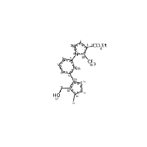 CCOC(=O)c1cnn(-c2cccc(-c3scc(C)c3CO)n2)c1C(F)(F)F